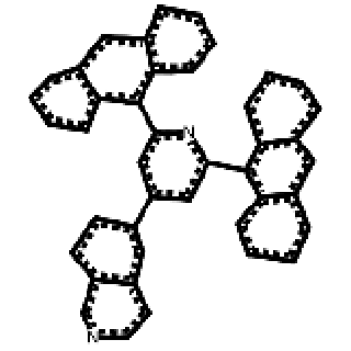 c1ccc2c(-c3cc(-c4ccc5cnccc5c4)cc(-c4c5ccccc5cc5ccccc45)n3)c3ccccc3cc2c1